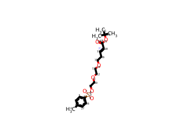 Cc1ccc(S(=O)(=O)OCCOCCOCC/C=C/C(=O)OC(C)(C)C)cc1